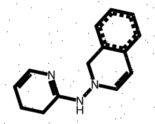 C1=CN=C(NN2C=Cc3ccccc3C2)CC1